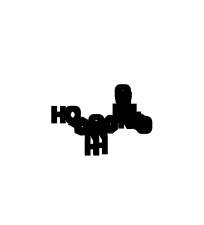 O=C(Nc1ccc(CO)cc1)Nc1ccc(-c2nc(N3C4CCC3COC4)nc(N3C4CCC3COC4)n2)cc1